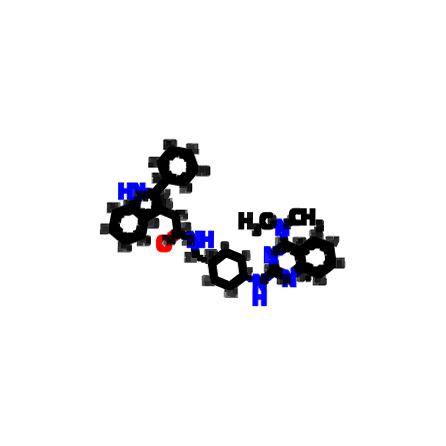 CN(C)c1nc(N[C@H]2CC[C@@H](CNC(=O)Cc3c(-c4ccccc4)[nH]c4ccccc34)CC2)nc2ccccc12